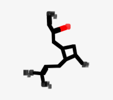 C=CC(=O)CC1CC(C(C)C)C1CC=C(C)C